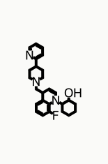 OC1CCCCC1N1C=CC(CN2CCC(c3ccccn3)CC2)c2cccc(F)c21